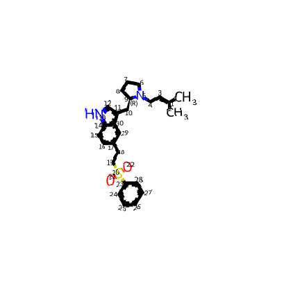 CC(C)=CCN1CCC[C@@H]1Cc1c[nH]c2ccc(CCS(=O)(=O)c3ccccc3)cc12